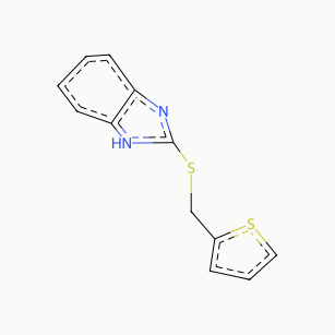 c1csc(CSc2nc3ccccc3[nH]2)c1